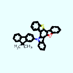 CC1(C)c2ccccc2-c2ccc(-n3c4ccccc4c4c5oc6ccccc6c5c5sc6ccccc6c5c43)cc21